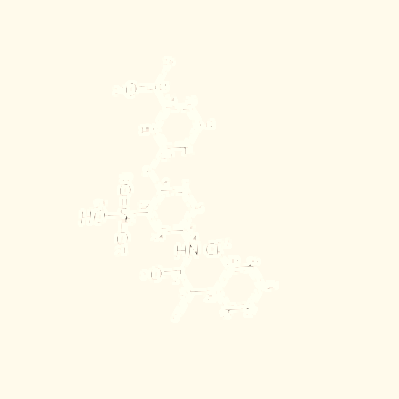 C=C(C(=O)Nc1ccc(Cc2cccc(C(C)=O)c2)c(S(=O)(=O)O)c1)c1ccccc1Cl